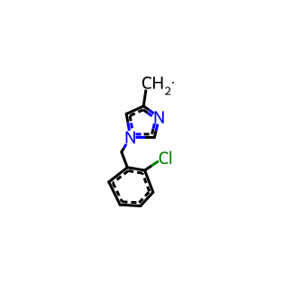 [CH2]c1cn(Cc2ccccc2Cl)cn1